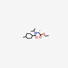 CCOC(=O)[C@@H](C)N(C(=O)C1CCC(C)CC1)C(C)C